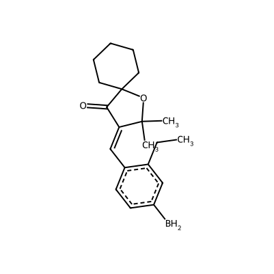 Bc1ccc(/C=C2/C(=O)C3(CCCCC3)OC2(C)C)c(CC)c1